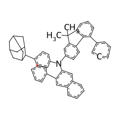 CC1(C)c2cc(N(c3ccc(C4C5CC6CC(C5)CC4C6)cc3)c3cc4ccccc4cc3-c3ccccc3)ccc2-c2c(-c3ccccc3)cccc21